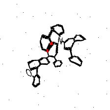 c1ccc(-c2cc(N(c3cc(-c4ccccc4)c4ccccc4c3)c3ccccc3-c3ccccc3)ccc2-c2ccc3c(ccc4oc5ccccc5c43)c2)cc1